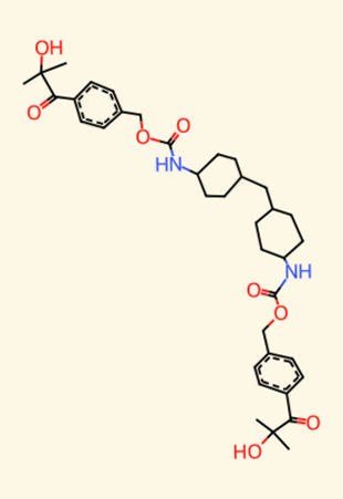 CC(C)(O)C(=O)c1ccc(COC(=O)NC2CCC(CC3CCC(NC(=O)OCc4ccc(C(=O)C(C)(C)O)cc4)CC3)CC2)cc1